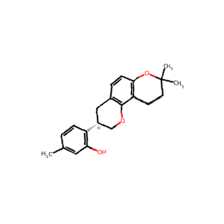 Cc1ccc([C@H]2COc3c(ccc4c3CCC(C)(C)O4)C2)c(O)c1